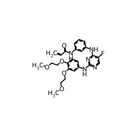 C=CC(=O)Nc1cccc(Nc2nc(Nc3ccc(OCCOC)c(OCCOC)c3)ncc2F)c1